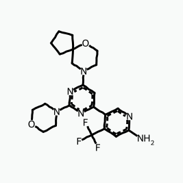 Nc1cc(C(F)(F)F)c(-c2cc(N3CCOC4(CCCC4)C3)nc(N3CCOCC3)n2)cn1